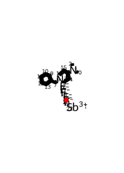 CN(C)c1cc[n+](Cc2ccccc2)cc1.[F-].[F-].[F-].[F-].[F-].[F-].[Sb+3]